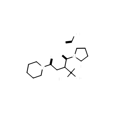 CC(C)(C)C(CC(=O)N1CCCCC1)C(=O)N1CCC[C@H]1C(=O)O